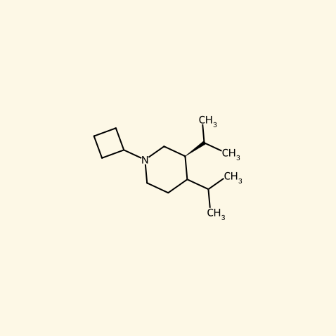 CC(C)C1CCN(C2CCC2)C[C@H]1C(C)C